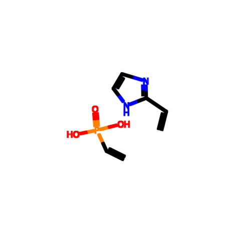 C=CP(=O)(O)O.C=Cc1ncc[nH]1